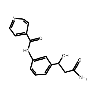 NC(=O)CC(O)c1cccc(NC(=O)c2ccncc2)c1